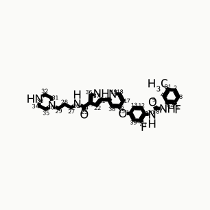 Cc1ccc(F)c(NC(=O)Nc2ccc(Oc3ccnc(-c4cc(C(=O)NCCCN5CCNCC5)c[nH]4)c3)cc2F)c1